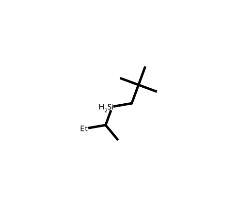 CCC(C)[SiH2]CC(C)(C)C